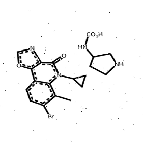 Cc1c(Br)ccc2c3ocnc3c(=O)n(C3CC3)c12.O=C(O)NC1CCNC1